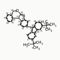 CC(C)(C)c1ccc2c(c1)c1cc(C(C)(C)C)ccc1n2-c1ccc2c(c1)N=C1OCc3ccccc3C12